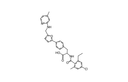 CCc1cc(Cl)cc(C)c1C(=O)NC(Cc1ccc(-c2ccc(CNc3cc(C)ccn3)o2)cc1)C(=O)O